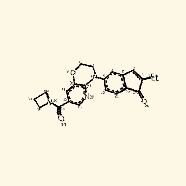 CCC1=Cc2cc(N3CCOc4cc(C(=O)N5CCC5)cnc43)ccc2C1=O